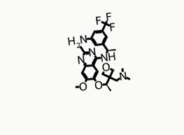 COc1cc2nc(C)nc(N[C@H](C)c3cc(N)cc(C(F)(F)F)c3)c2cc1O[C@H](C)C1(CN(C)C)COC1